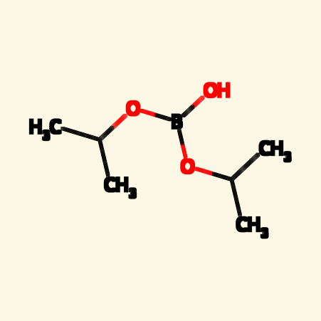 CC(C)OB(O)OC(C)C